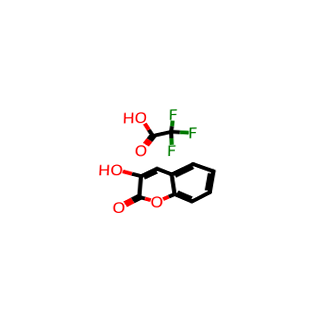 O=C(O)C(F)(F)F.O=c1oc2ccccc2cc1O